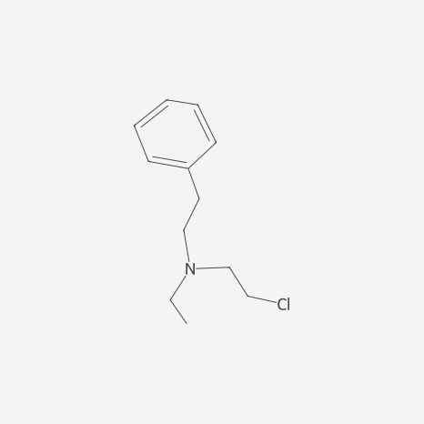 CCN(CCCl)CCc1ccccc1